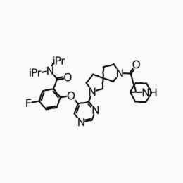 CC(C)N(C(=O)c1cc(F)ccc1Oc1cncnc1N1CCC2(CCN(C(=O)C3NC4CCC3CC4)C2)C1)C(C)C